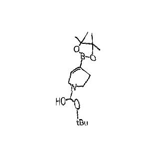 CC(C)(C)OC(O)N1CC=C(B2OC(C)(C)C(C)(C)O2)CC1